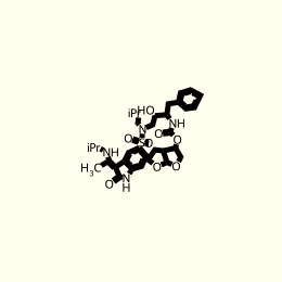 CC(NC(C)C)=C1C(=O)Nc2ccc(S(=O)(=O)N(CC(C)C)CC(O)C(Cc3ccccc3)NC(=O)OC3COC4OCCC34)cc21